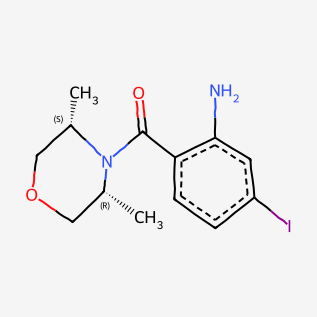 C[C@@H]1COC[C@H](C)N1C(=O)c1ccc(I)cc1N